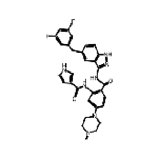 CN1CCN(c2ccc(C(=O)Nc3n[nH]c4ccc(Cc5cc(F)cc(F)c5)cc34)c(NC(=O)c3cc[nH]c3)c2)CC1